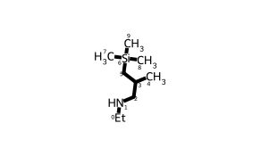 CCNCC(C)C[Si](C)(C)C